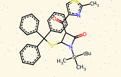 Cc1nc(C(=O)C2C(=O)N([Si](C)(C)C(C)(C)C)C2SC(c2ccccc2)(c2ccccc2)c2ccccc2)cs1